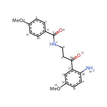 COc1ccc(C(=O)NCCC(=O)c2cc(OC)ccc2N)cc1